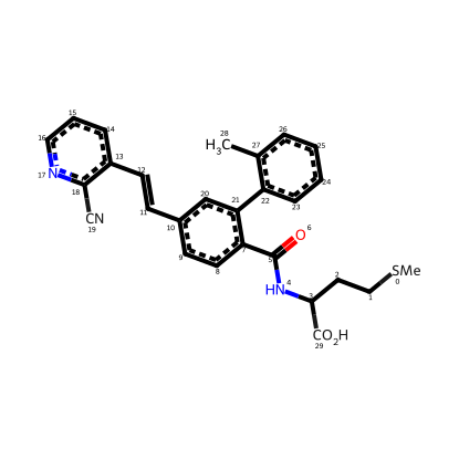 CSCCC(NC(=O)c1ccc(C=Cc2cccnc2C#N)cc1-c1ccccc1C)C(=O)O